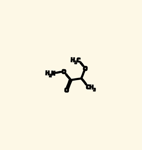 COC(C)C(=O)ON